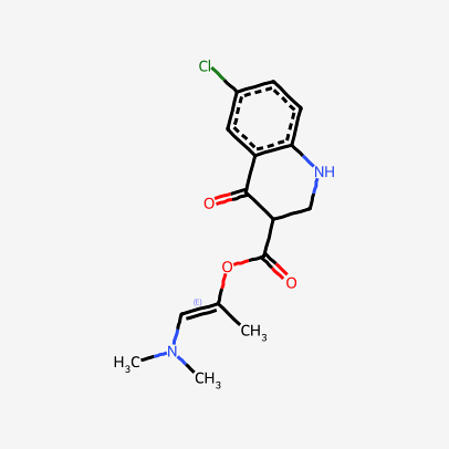 C/C(=C\N(C)C)OC(=O)C1CNc2ccc(Cl)cc2C1=O